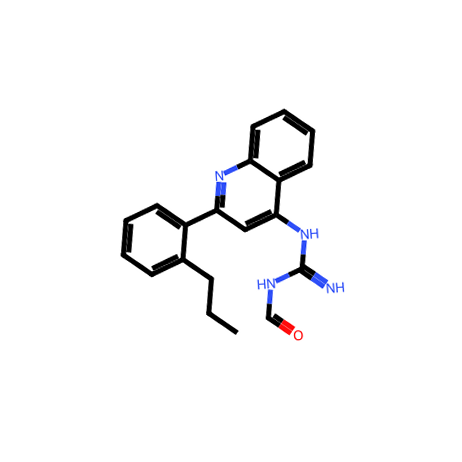 CCCc1ccccc1-c1cc(NC(=N)NC=O)c2ccccc2n1